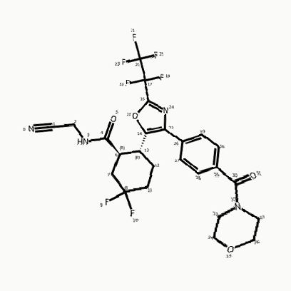 N#CCNC(=O)[C@@H]1CC(F)(F)CC[C@H]1c1oc(C(F)(F)C(F)(F)F)nc1-c1ccc(C(=O)N2CCOCC2)cc1